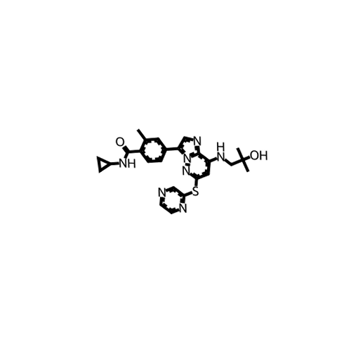 Cc1cc(-c2cnc3c(NCC(C)(C)O)cc(Sc4cnccn4)nn23)ccc1C(=O)NC1CC1